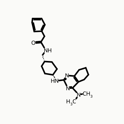 CN(C)c1nc(N[C@H]2CC[C@@H](CNC(=O)Cc3ccccc3)CC2)nc2c1CCCC2